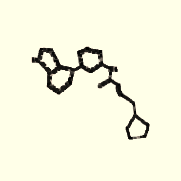 O=C(C=CCC1CCCC1)Nc1cccc(-c2cccc3[nH]ccc23)c1